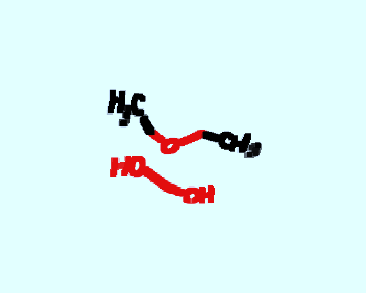 COC.OO